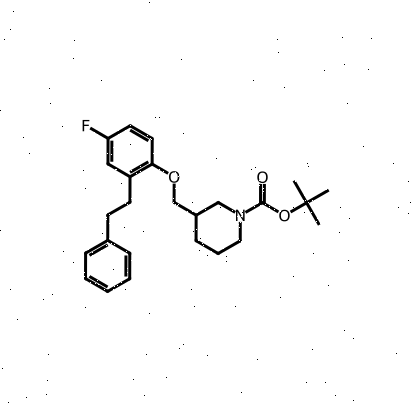 CC(C)(C)OC(=O)N1CCCC(COc2ccc(F)cc2CCc2ccccc2)C1